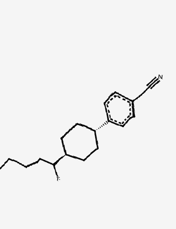 CCCCC(F)[C@H]1CC[C@H](c2ccc(C#N)cc2)CC1